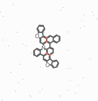 c1ccc(N(c2ccc3c(c2)oc2ccccc23)c2ccccc2-c2cccc3ccccc23)c(-c2ccc3c(c2)oc2ccccc23)c1